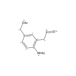 CC(=O)Nc1ccc(COC(C)=O)cc1CP=O